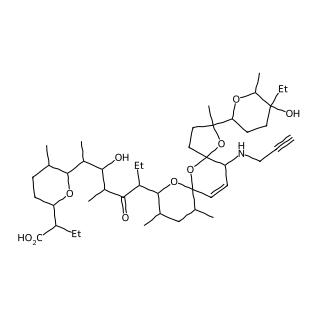 C#CCNC1C=CC2(OC(C(CC)C(=O)C(C)C(O)C(C)C3OC(C(CC)C(=O)O)CCC3C)C(C)CC2C)OC12CCC(C)(C1CCC(O)(CC)C(C)O1)O2